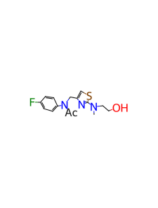 CC(=O)N(Cc1csc(N(C)CCO)n1)c1ccc(F)cc1